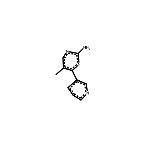 Cc1cnc(N)nc1-c1cccnc1